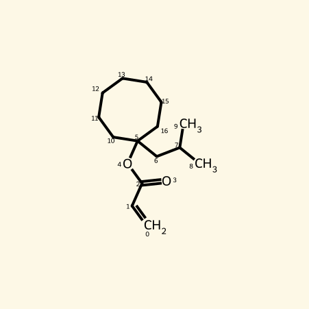 C=CC(=O)OC1(CC(C)C)CCCCCCC1